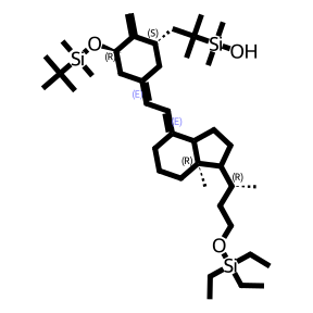 C=C1[C@H](CC(C)(C)[Si](C)(C)O)C/C(=C\C=C2/CCC[C@@]3(C)C2CCC3[C@H](C)CCO[Si](CC)(CC)CC)C[C@H]1O[Si](C)(C)C(C)(C)C